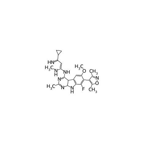 CN/C(=C\C(=N)C1CC1)NC1=NC(C)=NC2Nc3c(cc(OC)c(-c4c(C)noc4C)c3F)C12